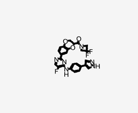 O=C(C1COc2ccc(-c3ncc(F)c(Nc4ccc(-c5cn[nH]c5)cc4)n3)cc2O1)N1CC(F)(F)C1